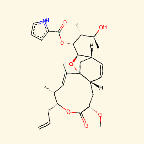 C=CC[C@H]1OC(=O)[C@@H](OC)C[C@H]2C=C[C@@H]3C[C@]2(O[C@H]3[C@H](OC(=O)c2ccc[nH]2)[C@H](C)[C@H](C)O)/C(C)=C/[C@H]1C